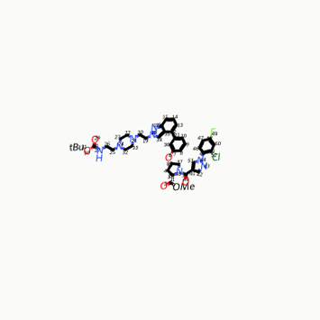 COC(=O)[C@@H]1C[C@H](Oc2cccc(-c3cccc4nn(CCN5CCN(CCNC(=O)OC(C)(C)C)CC5)cc34)c2)CN1C(=O)c1cnn(-c2ccc(F)cc2Cl)c1